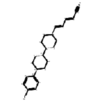 N#CC=CC=C[C@H]1CC[C@H]([C@H]2CC[C@H](c3ccc(F)cc3)CC2)CC1